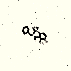 Nc1c(Br)ccc2c1c(=O)n(Cc1ccccc1)c1nncn21